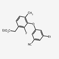 CCOC(=O)Cc1ccc(C)c(Oc2cc(C#N)cc(CC)c2)c1F